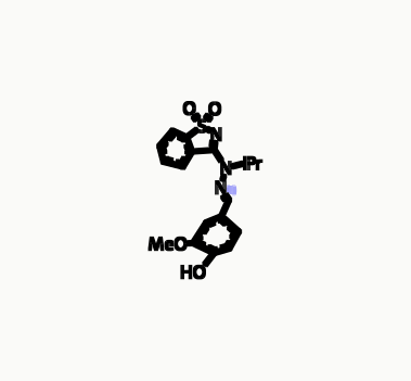 COc1cc(/C=N/N(C2=NS(=O)(=O)c3ccccc32)C(C)C)ccc1O